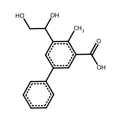 Cc1c(C(=O)O)cc(-c2ccccc2)cc1C(O)CO